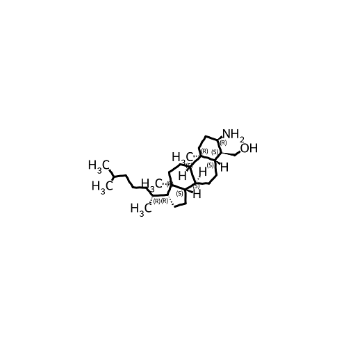 CC(C)CCC[C@@H](C)[C@H]1CC[C@H]2[C@@H]3CC[C@H]4[C@H](CO)[C@H](N)CC[C@]4(C)[C@H]3CC[C@]12C